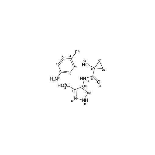 Nc1ccc(F)cc1.O=C(O)c1n[nH]cc1NC(=O)C1(O)CC1